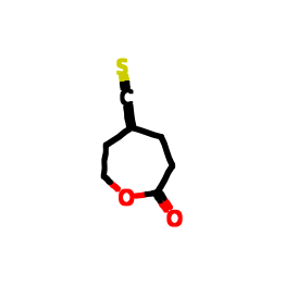 O=C1CCC(=C=S)CCO1